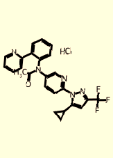 CC(=O)N(c1ccc(-n2nc(C(F)(F)F)cc2C2CC2)nc1)c1ccccc1-c1ccccn1.Cl